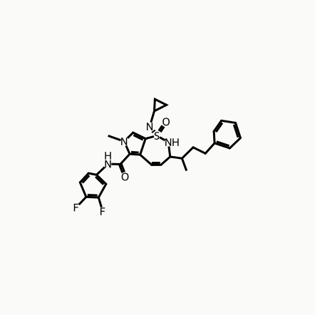 CC(CCc1ccccc1)C1C=Cc2c(cn(C)c2C(=O)Nc2ccc(F)c(F)c2)S(=O)(=NC2CC2)N1